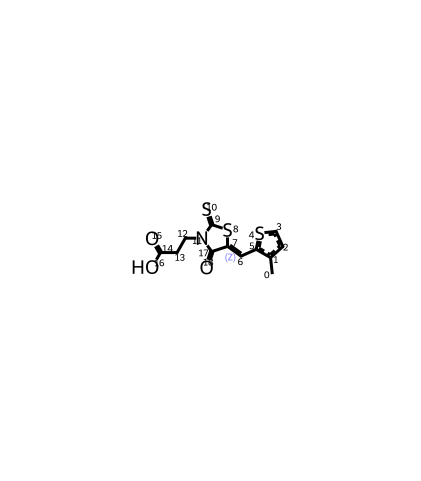 Cc1ccsc1/C=C1\SC(=S)N(CCC(=O)O)C1=O